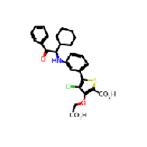 O=C(O)COc1c(C(=O)O)sc(-c2cccc(NC(C(=O)c3ccccc3)C3CCCCC3)c2)c1Cl